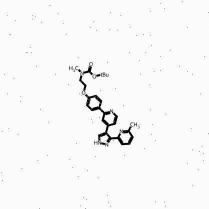 Cc1cccc(-c2n[nH]cc2-c2ccnc(-c3ccc(OCCN(C)C(=O)OC(C)(C)C)cc3)c2)n1